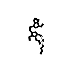 C=CCCOC=C=CC1CC(/C=C\C2CC(C=C)C3C=CCC23)C(C=C)C1CC=C